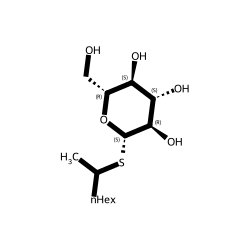 CCCCCCC(C)S[C@@H]1O[C@H](CO)[C@@H](O)[C@H](O)[C@H]1O